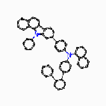 c1ccc(-c2ccccc2-c2ccc(N(c3ccc(-c4ccc5c6ccc7ccccc7c6n(-c6ccccc6)c5c4)cc3)c3cccc4ccccc34)cc2)cc1